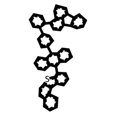 c1ccc(-c2ccc3c4c(cccc24)-c2ccccc2-3)c(-c2ccc(-c3c4ccccc4c(-c4cccc5c4sc4ccc6ccccc6c45)c4ccccc34)cc2)c1